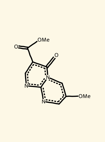 COC(=O)c1cnc2ncc(OC)cn2c1=O